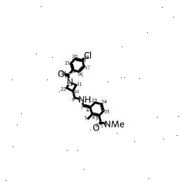 CNC(=O)C1=C(C)/C(=C/NCC2CN(C(=O)c3ccc(Cl)cc3)C2)CC=C1